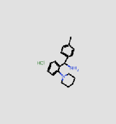 Cc1ccc(C(N)c2ccccc2N2CCCCC2)cc1.Cl